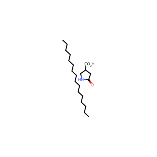 CCCCCCCCCCCCCCCC.O=C1CC(C(=O)O)CN1